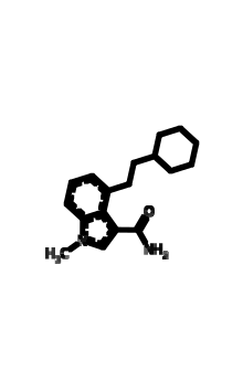 Cn1cc(C(N)=O)c2c(CCC3CCCCC3)cccc21